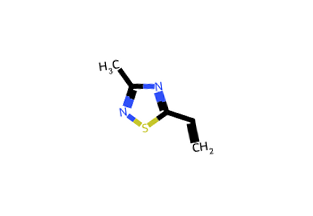 C=Cc1nc(C)ns1